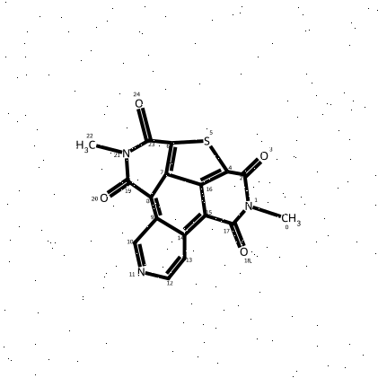 CN1C(=O)c2sc3c4c(c5cnccc5c(c24)C1=O)C(=O)N(C)C3=O